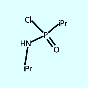 CC(C)NP(=O)(Cl)C(C)C